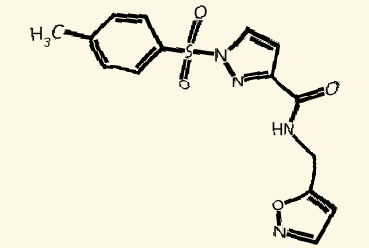 Cc1ccc(S(=O)(=O)n2ccc(C(=O)NCc3ccno3)n2)cc1